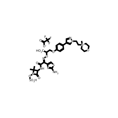 CC1(C)C(NC(=O)C(=NOC(COc2ccc(-c3cnn(CC[N+]4(C)CCOCC4)c3)cc2)C(=O)O)c2csc(N)n2)C(=O)N1OS(=O)(=O)O.O=C([O-])C(F)(F)F